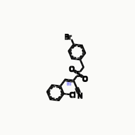 N#C/C(=C\c1ccccc1Cl)S(=O)(=O)Cc1ccc(Br)cc1